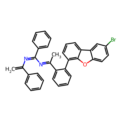 C=C(/N=C(\N=C(/C)c1ccccc1-c1cccc2c1oc1ccc(Br)cc12)c1ccccc1)c1ccccc1